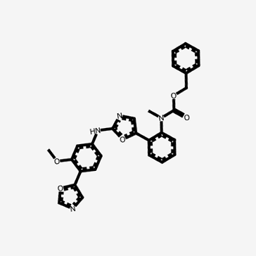 COc1cc(Nc2ncc(-c3ccccc3N(C)C(=O)OCc3ccccc3)o2)ccc1-c1cnco1